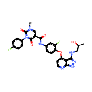 CC(C)n1cc(C(=O)Nc2ccc(Oc3ccnc4[nH]nc(NC[C@H](C)O)c34)c(F)c2)c(=O)n(-c2ccc(F)cc2)c1=O